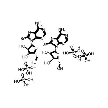 Nc1ncnc2c1nc(Br)n2[C@@H]1O[C@H](CO)[C@@H](O)[C@H]1O.Nc1ncnc2c1nc(Br)n2[C@@H]1O[C@H](CO)[C@@H](O)[C@H]1O.O=P(O)(O)O.O=P(O)(O)O.O=P(O)(O)O.O=P(O)(O)O